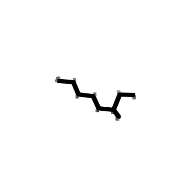 [CH2]CCCC[C](C)CC